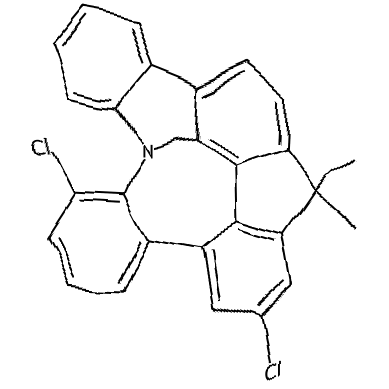 CC1(C)c2cc(Cl)cc3c2-c2c1ccc1c4ccccc4n(c21)-c1c(Cl)cccc1-3